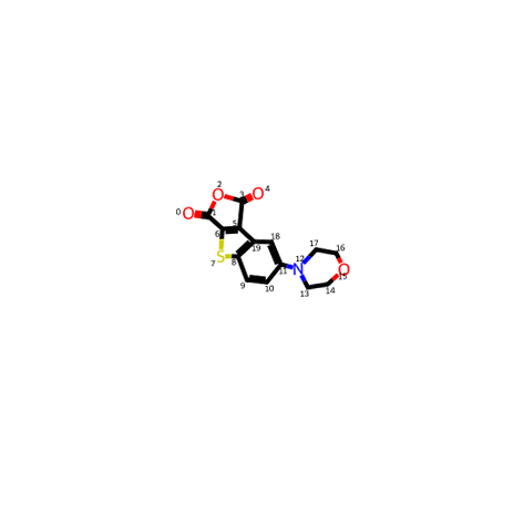 O=C1OC(=O)c2c1sc1ccc(N3CCOCC3)cc21